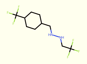 FC(F)(F)CNNCC1CCC(C(F)(F)F)CC1